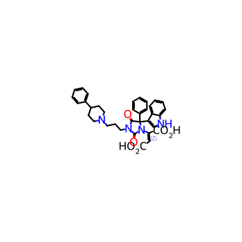 O=C(O)/C=C(/C(=O)O)N1C(=O)N(CCCN2CCC(c3ccccc3)CC2)C(=O)C1(c1ccccc1)c1c[nH]c2ccccc12